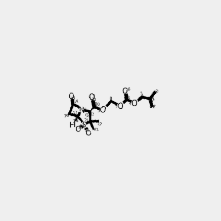 CC(C)COC(=O)OCOC(=O)[C@@H]1N2C(=O)C[C@H]2S(=O)(=O)C1(C)C